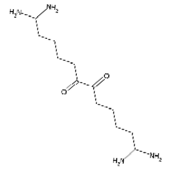 NC(N)CCCCC(=O)C(=O)CCCCC(N)N